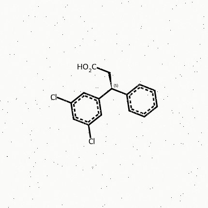 O=C(O)C[C@@H](c1ccccc1)c1cc(Cl)cc(Cl)c1